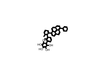 Cc1cccc(-c2ccc3ccc4c(C5=CCCC=C5)ccc5ccc2c3c54)c1-c1cccc(-c2c(O)c(O)c(O)c(O)c2O)c1C